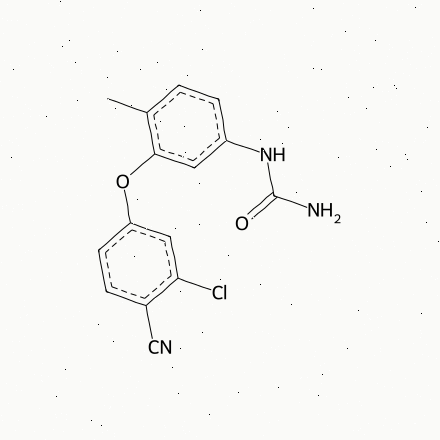 Cc1ccc(NC(N)=O)cc1Oc1ccc(C#N)c(Cl)c1